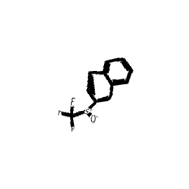 [O-][S+](c1[c]c2ccccc2cc1)C(F)(F)F